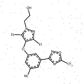 CCc1nn(CCO)c(CC)c1Oc1cc(C#N)cc(-c2noc(C(F)(F)F)n2)c1